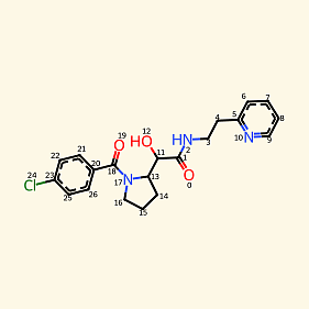 O=C(NCCc1ccccn1)C(O)C1CCCN1C(=O)c1ccc(Cl)cc1